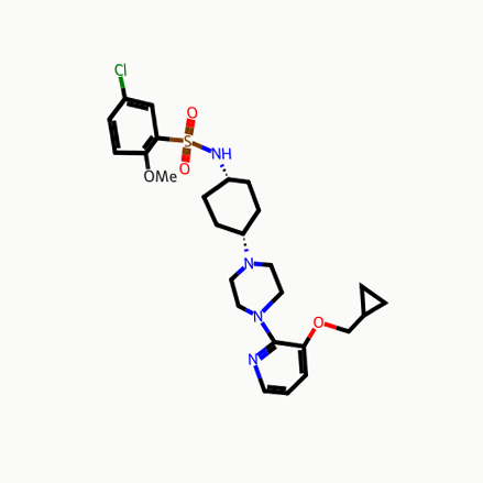 COc1ccc(Cl)cc1S(=O)(=O)N[C@H]1CC[C@@H](N2CCN(c3ncccc3OCC3CC3)CC2)CC1